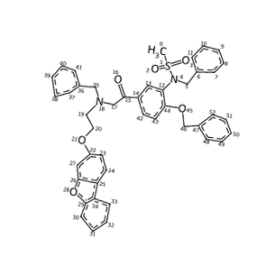 CS(=O)(=O)N(Cc1ccccc1)c1cc(C(=O)CN(CCOc2ccc3c(c2)oc2ccccc23)Cc2ccccc2)ccc1OCc1ccccc1